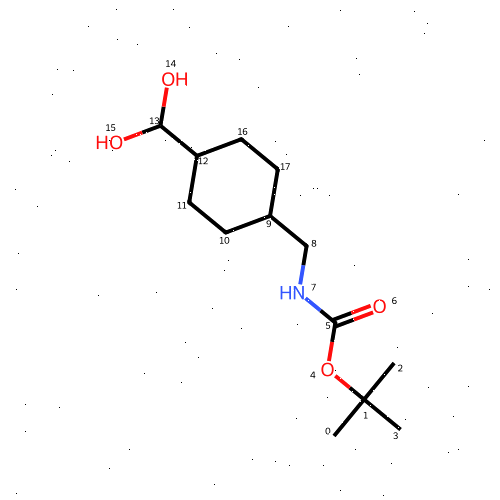 CC(C)(C)OC(=O)NCC1CCC(C(O)O)CC1